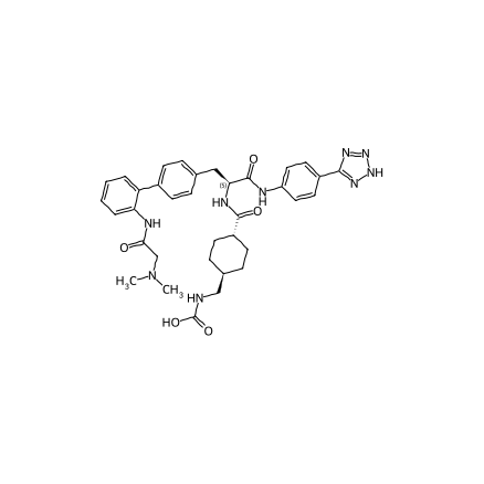 CN(C)CC(=O)Nc1ccccc1-c1ccc(C[C@H](NC(=O)[C@H]2CC[C@H](CNC(=O)O)CC2)C(=O)Nc2ccc(-c3nn[nH]n3)cc2)cc1